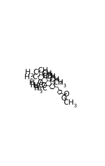 C=C(C)C1=C(C)CC2(C)C(C)C3(C)C(C)c4ccc(CC5=CC(C(=O)OCC)=CC5)c(C)c4C(=C)C3C(C)C2(C)C1=C